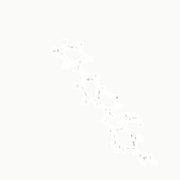 Nc1ncc(CN2CCc3cc(-c4cccnc4)ccc32)c(N)n1